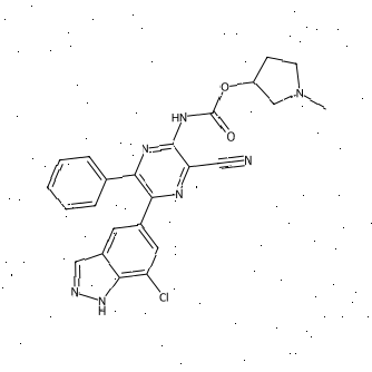 CN1CCC(OC(=O)Nc2nc(-c3ccccc3)c(-c3cc(Cl)c4[nH]ncc4c3)nc2C#N)C1